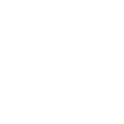 CC(C)(Oc1ccc(Cl)cc1C(F)(F)F)C(=O)NC1CC2CCC(C1)N2c1ccc(C(=O)NC2CC2(F)F)cn1